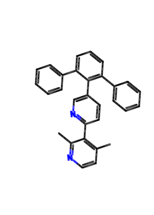 Cc1ccnc(C)c1-c1ccc(-c2c(-c3ccccc3)cccc2-c2ccccc2)cn1